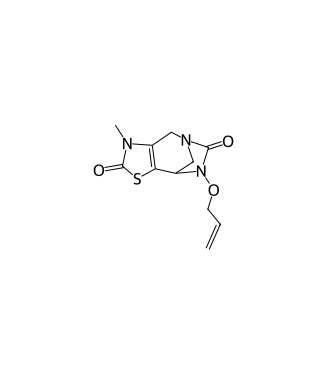 C=CCON1C(=O)N2Cc3c(sc(=O)n3C)C1C2